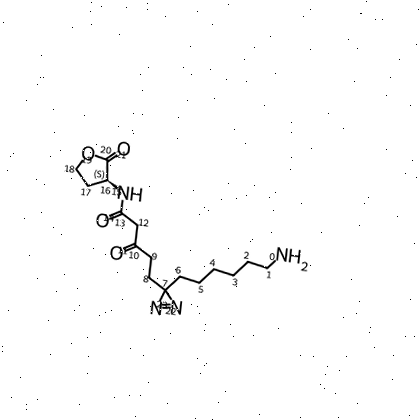 NCCCCCCC1(CCC(=O)CC(=O)N[C@H]2CCOC2=O)N=N1